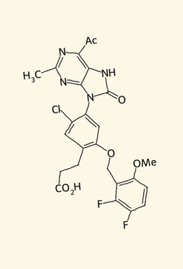 COc1ccc(F)c(F)c1COc1cc(-n2c(=O)[nH]c3c(C(C)=O)nc(C)nc32)c(Cl)cc1CCC(=O)O